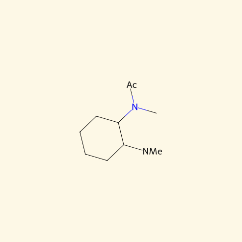 CNC1CCCCC1N(C)C(C)=O